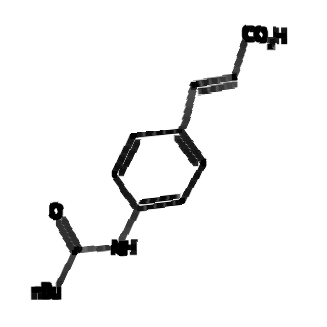 CCCCC(=O)Nc1ccc(/C=C/C(=O)O)cc1